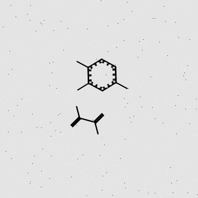 O=C(O)C(=O)O.[B]c1ccc(F)cc1F